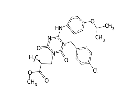 COC(=O)[C@@H](C)Cn1c(=O)nc(Nc2ccc(OC(C)C)cc2)n(Cc2ccc(Cl)cc2)c1=O